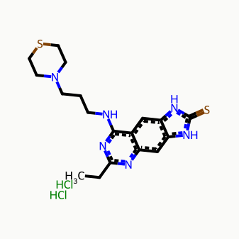 CCc1nc(NCCCN2CCSCC2)c2cc3[nH]c(=S)[nH]c3cc2n1.Cl.Cl